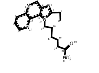 CCc1nc2cnc3cccnc3c2n1CCCCCC(N)=O